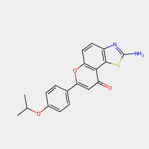 CC(C)Oc1ccc(-c2cc(=O)c3c(ccc4nc(N)sc43)o2)cc1